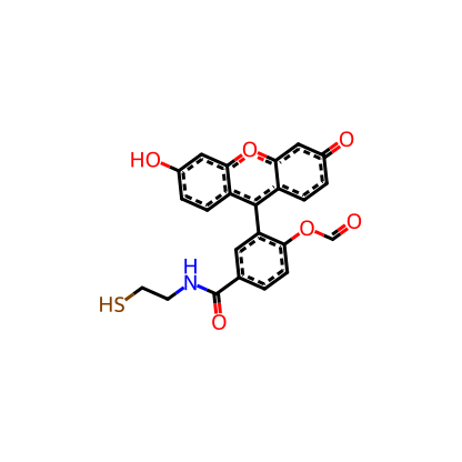 O=COc1ccc(C(=O)NCCS)cc1-c1c2ccc(=O)cc-2oc2cc(O)ccc12